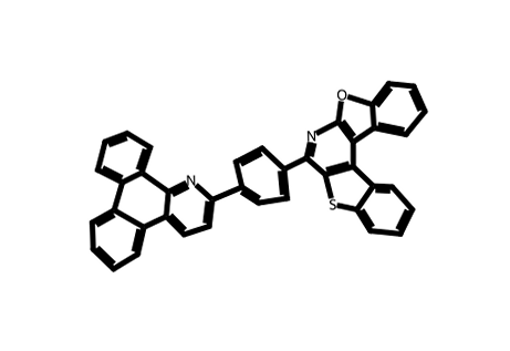 c1ccc2c(c1)oc1nc(-c3ccc(-c4ccc5c6ccccc6c6ccccc6c5n4)cc3)c3sc4ccccc4c3c12